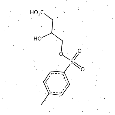 Cc1ccc(S(=O)(=O)OCC(O)CC(=O)O)cc1